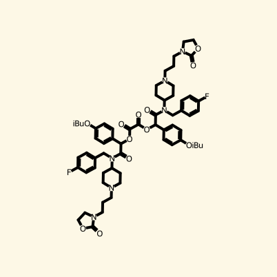 CC(C)COc1ccc(C(OC(=O)C(=O)OC(C(=O)N(Cc2ccc(F)cc2)C2CCN(CCCN3CCOC3=O)CC2)c2ccc(OCC(C)C)cc2)C(=O)N(Cc2ccc(F)cc2)C2CCN(CCCN3CCOC3=O)CC2)cc1